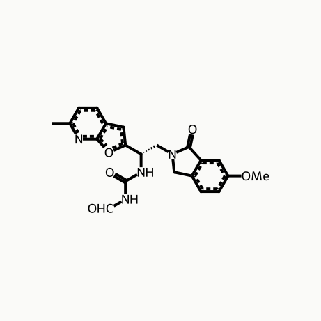 COc1ccc2c(c1)C(=O)N(C[C@H](NC(=O)NC=O)c1cc3ccc(C)nc3o1)C2